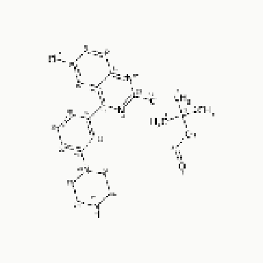 CC(C)(C)OC=O.Clc1ccc2nc(Cl)nc(-c3cccc(N4CCNCC4)c3)c2c1